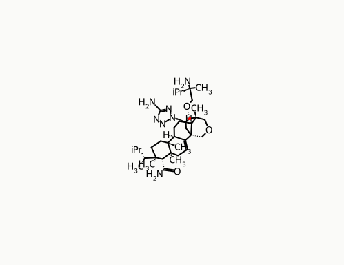 CC(C)[C@@H](C)[C@@]1(C)CC[C@]2(C)[C@H]3CC[C@@H]4[C@@]5(COC[C@@]4(C)[C@@H](OC[C@@](C)(N)C(C)C)[C@H](n4nnc(N)n4)C5)C3=CC[C@@]2(C)[C@@H]1C(N)=O